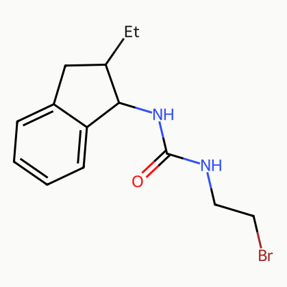 CCC1Cc2ccccc2C1NC(=O)NCCBr